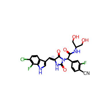 N#Cc1ccc(C(C(=O)NC(CO)CO)N2C(=O)N/C(=C\c3c[nH]c4c(F)c(Cl)ccc34)C2=O)cc1F